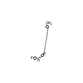 C=Cc1ccc(CCCCCCCCCCCCCCCCCCOc2ccc(C=CC(=O)c3ccc(F)cc3)cc2)cc1